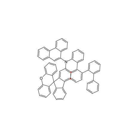 c1ccc(-c2ccccc2-c2ccccc2-c2ccccc2N(c2ccc3c(c2)C2(c4ccccc4Oc4ccccc42)c2ccccc2-3)c2cc3ccccc3c3ccccc23)cc1